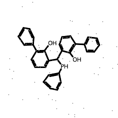 Oc1c(-c2ccccc2)cccc1C(Pc1ccccc1)c1cccc(-c2ccccc2)c1O